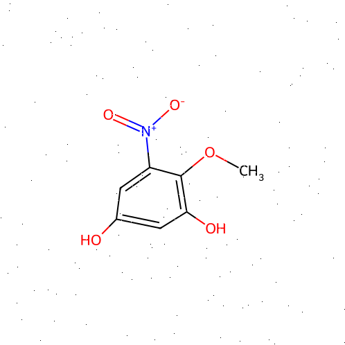 COc1c(O)cc(O)cc1[N+](=O)[O-]